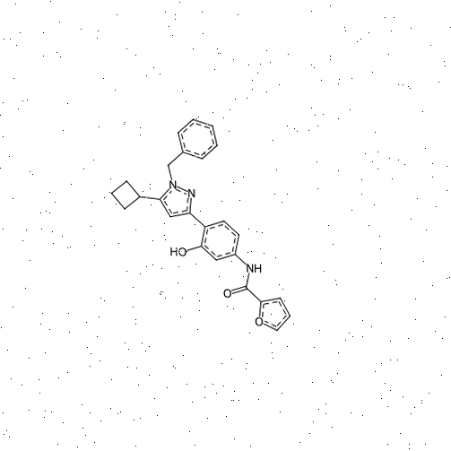 O=C(Nc1ccc(-c2cc(C3CCC3)n(Cc3ccccc3)n2)c(O)c1)c1ccco1